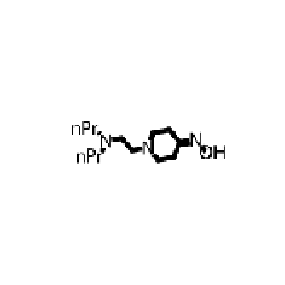 CCCN(CCC)CCN1CCC(=NO)CC1